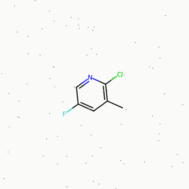 Cc1cc(F)[c]nc1Cl